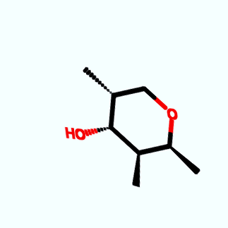 C[C@H]1[C@H](O)[C@H](C)CO[C@H]1C